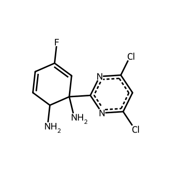 NC1C=CC(F)=CC1(N)c1nc(Cl)cc(Cl)n1